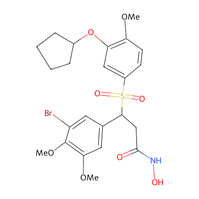 COc1ccc(S(=O)(=O)C(CC(=O)NO)c2cc(Br)c(OC)c(OC)c2)cc1OC1CCCC1